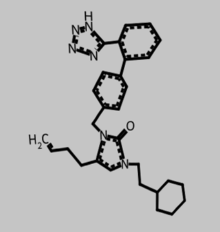 C=CCCc1cn(CCC2CCCCC2)c(=O)n1Cc1ccc(-c2ccccc2-c2nnn[nH]2)cc1